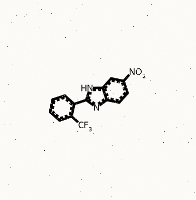 O=[N+]([O-])c1ccc2nc(-c3ccccc3C(F)(F)F)[nH]c2c1